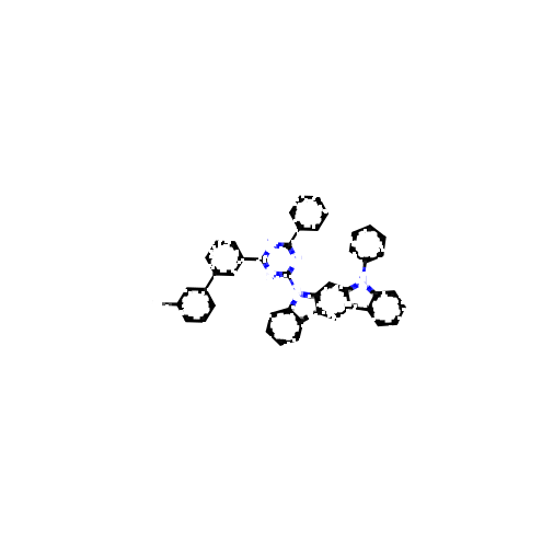 CCCCc1cccc(-c2cccc(-c3nc(-c4ccccc4)nc(-n4c5ccccc5c5cc6c7ccccc7n(-c7ccccc7)c6cc54)n3)c2)c1